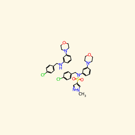 Clc1ccc(CNc2cccc(N3CCOCC3)c2)cc1.Cn1cc(S(=O)(=O)N(Cc2ccc(Cl)cc2)c2cccc(N3CCOCC3)c2)cn1